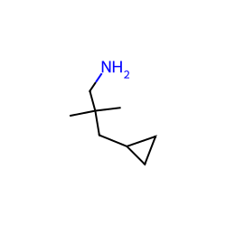 CC(C)(CN)CC1CC1